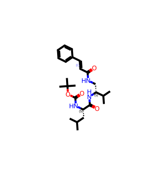 CC(C)C[C@H](NC(=O)OC(C)(C)C)C(=O)N[C@H](CNC(=O)/C=C/c1ccccc1)C(C)C